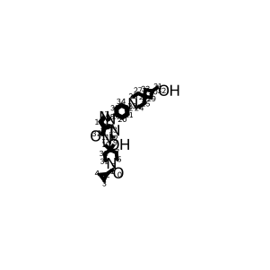 O=C(C1CC1)N1CCC(O)(Cn2cnc3c(cnn3-c3ccc(N4CCC5(CC4)CC(CO)C5)cc3)c2=O)CC1